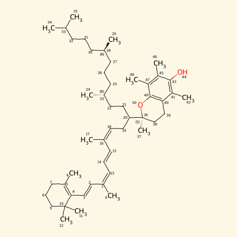 CC(C=CC1=C(C)CCCC1(C)C)=CC=CC(C)=CCC(CC[C@H](C)CCC[C@H](C)CCCC(C)C)[C@]1(C)CCc2c(C)c(O)c(C)c(C)c2O1